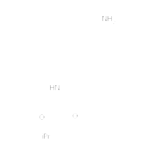 CC(C)OC(=O)NCCCCN